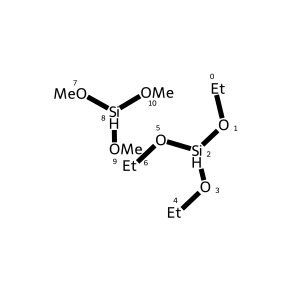 CCO[SiH](OCC)OCC.CO[SiH](OC)OC